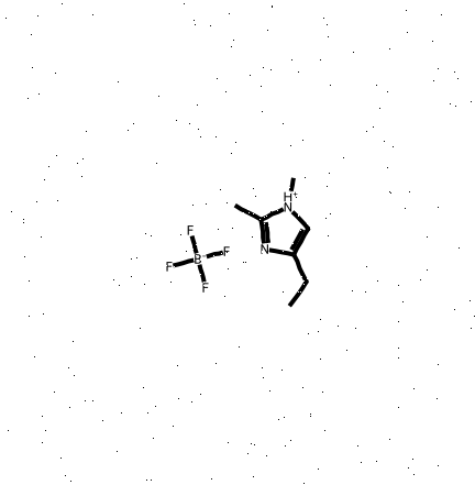 CCC1=C[NH+](C)C(C)=N1.F[B-](F)(F)F